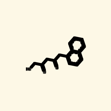 O=C(CO)CC(=O)Cc1cccc2ccccc12